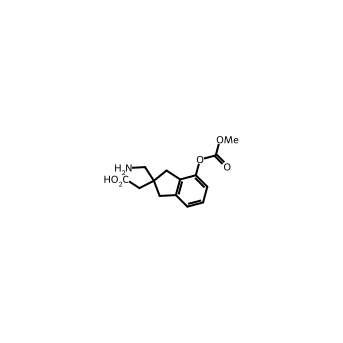 COC(=O)Oc1cccc2c1CC(CN)(CC(=O)O)C2